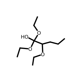 CCCC(OCC)C(O)(OCC)OCC